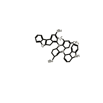 CC1=CC(C)=C2B(c3cc(C(C)(C)C)cc4c3Cc3oc5ccccc5c3-4)C3CCC(C(C)(C)C)C=C3N(C3C=CCC4Nc5ccccc5C43)C2C1